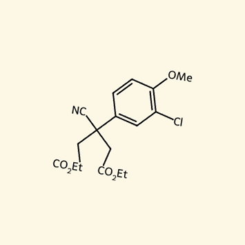 CCOC(=O)CC(C#N)(CC(=O)OCC)c1ccc(OC)c(Cl)c1